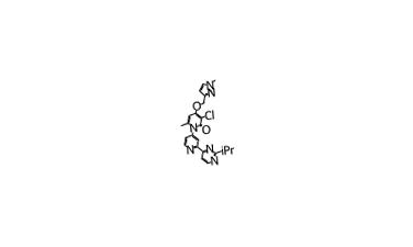 Cc1cc(OCc2ccn(C)n2)c(Cl)c(=O)n1-c1ccnc(-c2ccnc(C(C)C)n2)c1